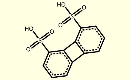 O=S(=O)(O)c1cccc2c1-c1c-2cccc1S(=O)(=O)O